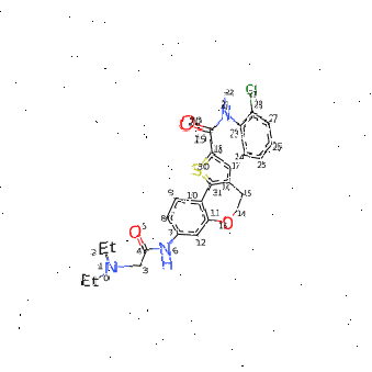 CCN(CC)CC(=O)Nc1ccc2c(c1)OCCc1cc(C(=O)N(C)c3ccccc3Cl)sc1-2